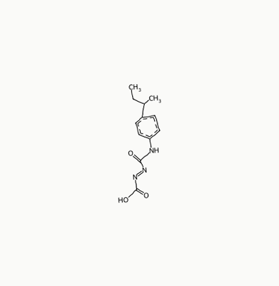 CCC(C)c1ccc(NC(=O)N=NC(=O)O)cc1